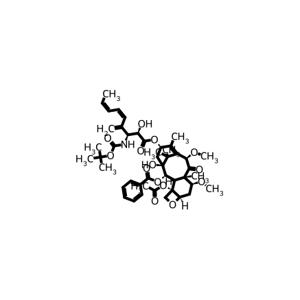 C=C(/C=C\C=C/C)[C@H](NC(=O)OC(C)(C)C)[C@@H](O)C(=O)O[C@H]1C[C@@]2(O)[C@@H](OC(=O)c3ccccc3)[C@@H]3[C@]4(OC(C)=O)CO[C@@H]4C[C@H](OC)[C@@]3(C)C(=O)[C@H](OC)C(=C1C)C2(C)C